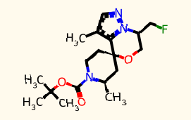 Cc1cnn2c1[C@]1(CCN(C(=O)OC(C)(C)C)[C@H](C)C1)OCC2CF